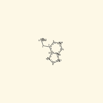 CC(C)(C)Cc1cncn2ncnc12